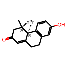 CCC[C@]1(C)CC(=O)C=C2CCc3cc(O)ccc3[C@@]21C